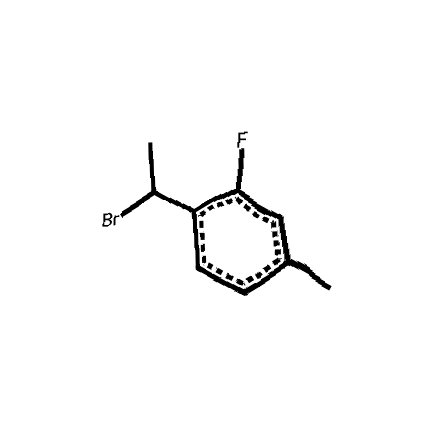 Cc1ccc(C(C)Br)c(F)c1